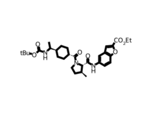 CCOC(=O)c1cc2cc(NC(=O)[C@@H]3[C@@H](C)CCN3C(=O)[C@H]3CC[C@H](C(C)NC(=O)OC(C)(C)C)CC3)ccc2o1